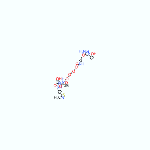 Cc1ncsc1-c1ccc(CNC(=O)[C@@H]2C[C@@H](O)CN2C(=O)[C@@H](NC(=O)COCCOCCOCCOCC(=O)NC23CC(CCOc4cc(-c5ccccc5O)nnc4N)(C2)C3)C(C)(C)C)cc1